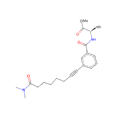 CCC[C@@H](NC(=O)c1cccc(C#CCCCCCC(=O)N(C)C)c1)C(=O)OC